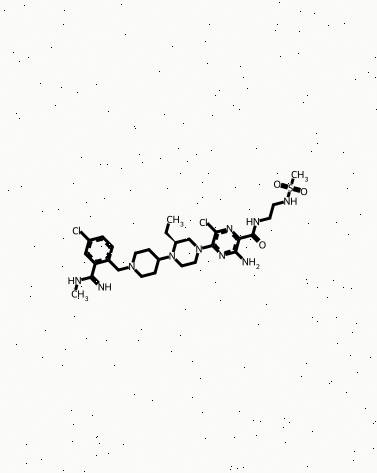 CC[C@H]1CN(c2nc(N)c(C(=O)NCCNS(C)(=O)=O)nc2Cl)CCN1C1CCN(Cc2ccc(Cl)cc2C(=N)NC)CC1